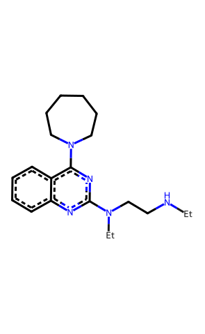 CCNCCN(CC)c1nc(N2CCCCCC2)c2ccccc2n1